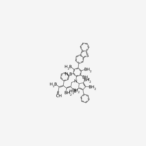 BC1=C(B)C(N(C/C(B)=C(B)\C(=C(\B)C#C)c2ccccc2)c2c(B)c(B)c(-c3ccc4c(c3)sc3ccccc34)c(B)c2B)C(B)=C1c1ccccc1